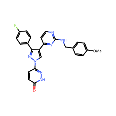 COc1ccc(CNc2nccc(-c3cn(-c4ccc(=O)[nH]n4)nc3-c3ccc(F)cc3)n2)cc1